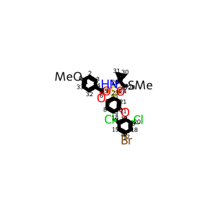 COc1ccc(COc2ccc(Oc3c(Cl)cc(Br)cc3Cl)cc2S(=O)(=O)NC2(CSC)CC2)cc1